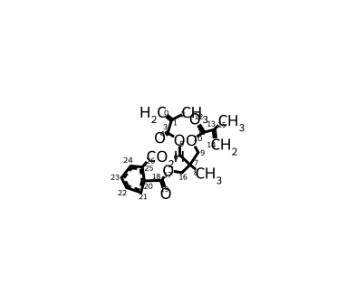 C=C(C)C(=O)OCC(C)(COC(=O)C(=C)C)COC(=O)c1ccccc1C(=O)O